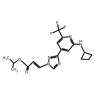 CC(C)OC(=O)C=Cn1cnc(-c2cc(NC3CCC3)nc(C(F)(F)F)c2)n1